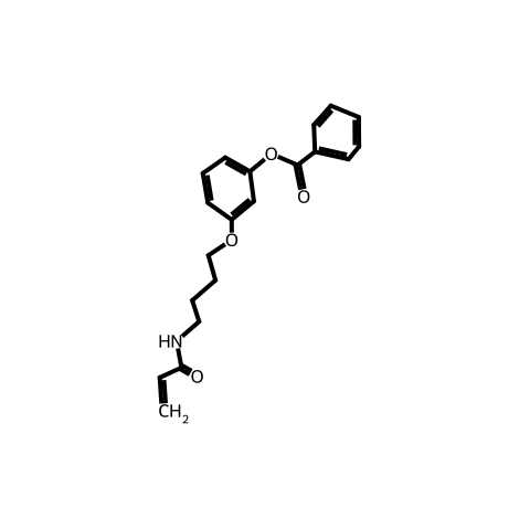 C=CC(=O)NCCCCOc1cccc(OC(=O)c2ccccc2)c1